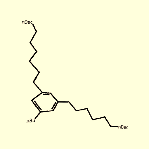 [CH2]CCCc1cc(CCCCCCCCCCCCCCCC)cc(CCCCCCCCCCCCCCCC)c1